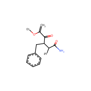 C=C(OCC)C(=O)C(Cc1ccccc1)[C](C(N)=O)C(C)C